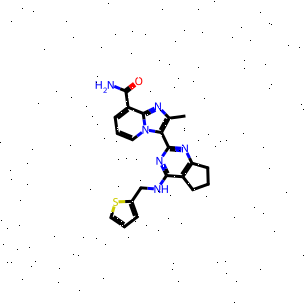 Cc1nc2c(C(N)=O)cccn2c1-c1nc2c(c(NCc3cccs3)n1)CCC2